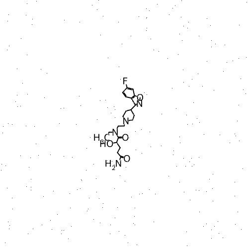 CCN(CCN1CCC(c2noc3cc(F)ccc23)CC1)C(=O)C(O)CCC(N)=O